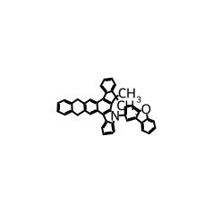 CC1(C)c2ccccc2-c2c1c1c(c3cc4c(cc23)Cc2ccccc2C4)c2ccccc2n1-c1ccc2oc3ccccc3c2c1